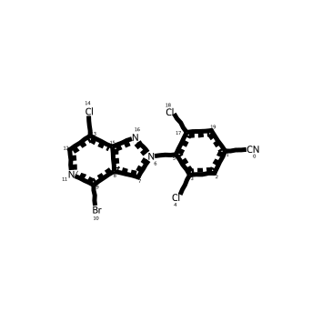 N#Cc1cc(Cl)c(-n2cc3c(Br)ncc(Cl)c3n2)c(Cl)c1